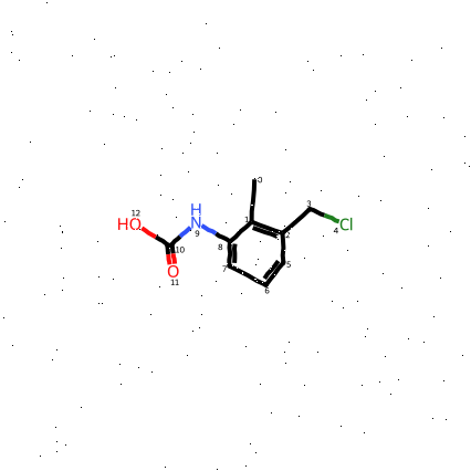 Cc1c(CCl)cccc1NC(=O)O